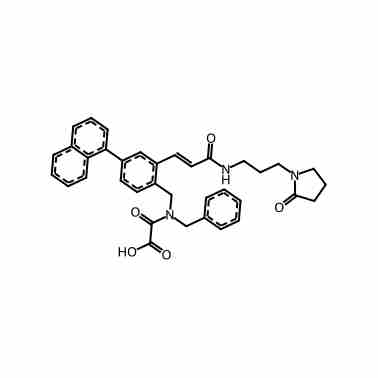 O=C(/C=C/c1cc(-c2cccc3ccccc23)ccc1CN(Cc1ccccc1)C(=O)C(=O)O)NCCCN1CCCC1=O